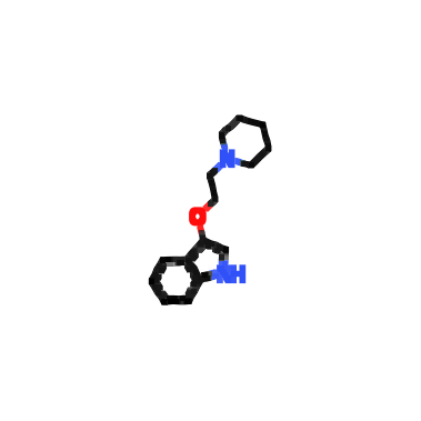 c1ccc2c(OCCN3CCCCC3)c[nH]c2c1